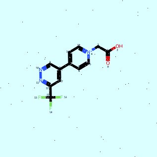 O=C(O)C[n+]1ccc(-c2cnnc(C(F)(F)F)c2)cc1